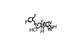 Cl.Fc1ccc(F)c(CCN2CCC(Nc3ncnc4[nH]ncc34)C(F)(F)C2)c1